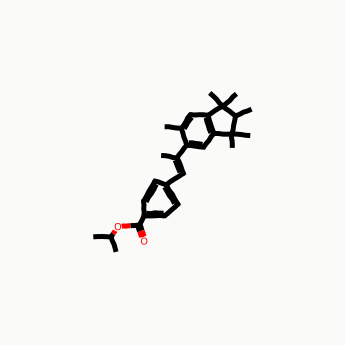 C/C(=C\c1ccc(C(=O)OC(C)C)cc1)c1cc2c(cc1C)C(C)(C)C(C)C2(C)C